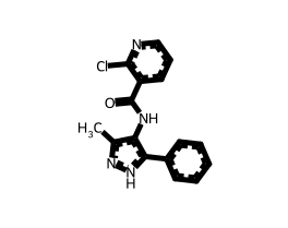 Cc1n[nH]c(-c2ccccc2)c1NC(=O)c1cccnc1Cl